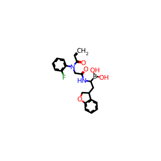 C=CC(=O)N(CC(=O)NC(CC1COc2ccccc21)B(O)O)c1ccccc1F